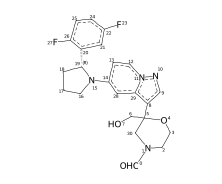 O=CN1CCOC(CO)(c2cnn3ccc(N4CCC[C@@H]4c4cc(F)ccc4F)cc23)C1